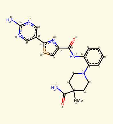 CNC1(C(N)=O)CCN(c2ccccc2NC(=O)c2csc(-c3cnc(N)nc3)n2)CC1